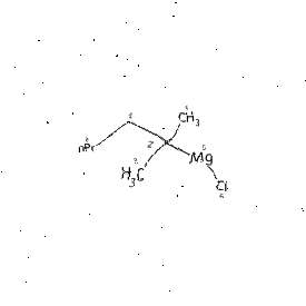 CCCC[C](C)(C)[Mg][Cl]